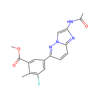 COC(=O)c1cc(-c2ccc3nc(NC(C)=O)cn3n2)cc(F)c1C